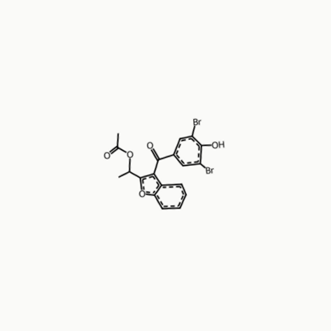 CC(=O)OC(C)c1oc2ccccc2c1C(=O)c1cc(Br)c(O)c(Br)c1